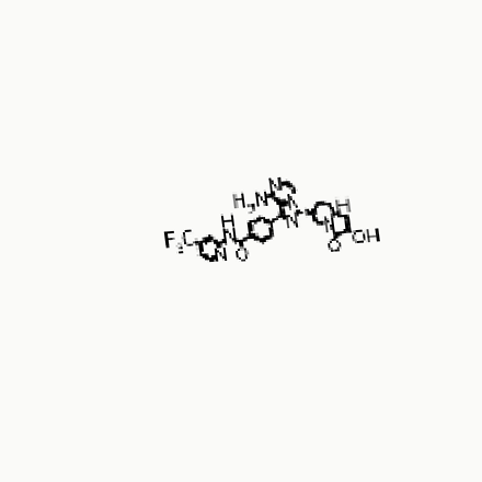 Nc1nccn2c([C@@H]3CC[C@@H]4CC(O)C(=O)N4C3)nc(-c3ccc(C(=O)Nc4cc(C(F)(F)F)ccn4)cc3)c12